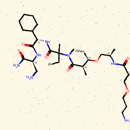 CCCCCC[C@@H](OC[C@@H](C)NC(=O)[C@@H](C)COCCCN)[C@@H](C)C(=O)N(C)C(C)(CC(C)C)C(=O)N[C@H](C(=O)N[C@@H](CN)C(N)=O)C1CCCCC1